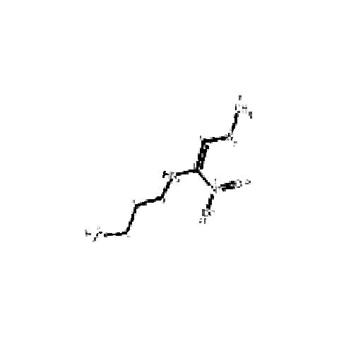 CCCCN/C(=C/SC)[N+](=O)[O-]